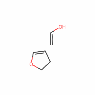 C1=COCC1.C=CO